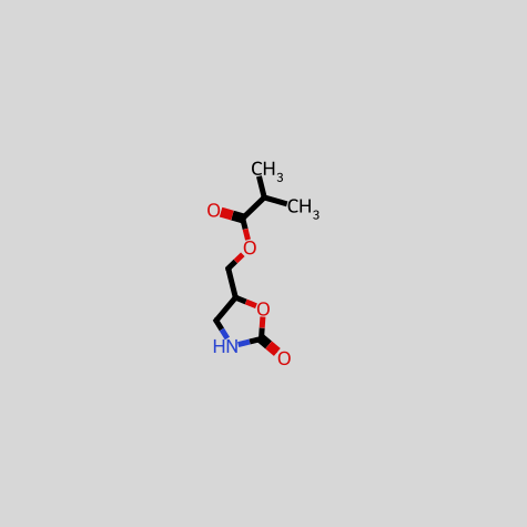 CC(C)C(=O)OCC1CNC(=O)O1